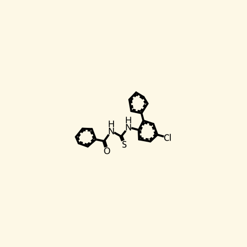 O=C(NC(=S)Nc1ccc(Cl)cc1-c1ccccc1)c1ccccc1